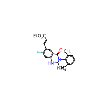 CCOC(=O)C=Cc1cc2c(cc1F)NC(C)N(c1c(C)cccc1C)C2=O